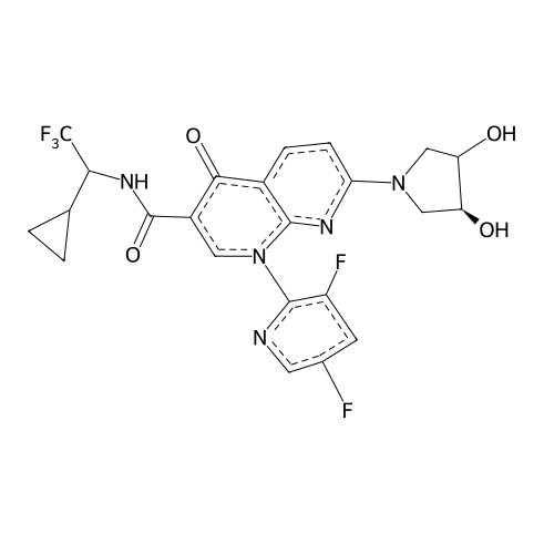 O=C(NC(C1CC1)C(F)(F)F)c1cn(-c2ncc(F)cc2F)c2nc(N3CC(O)[C@@H](O)C3)ccc2c1=O